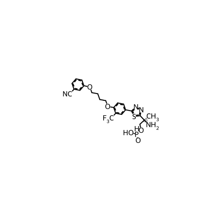 C[C@](N)(CO[PH](=O)O)c1nnc(-c2ccc(OCCCCOc3cccc(C#N)c3)c(C(F)(F)F)c2)s1